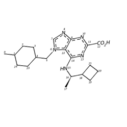 CC1CCC(Cn2cnc3nc(C(=O)O)nc(N[C@H](C)C4CCC4)c32)CC1